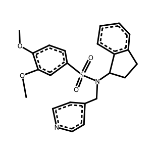 COc1ccc(S(=O)(=O)N(Cc2ccncc2)C2CCc3ccccc32)cc1OC